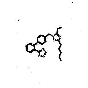 CCCCCc1nc(CC)n(Cc2ccc(-c3ccccc3-c3nnn[nH]3)cc2)n1